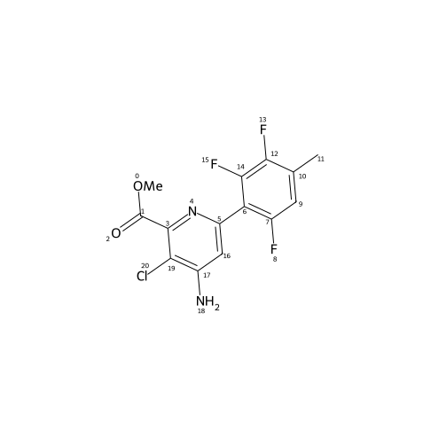 COC(=O)c1nc(-c2c(F)cc(C)c(F)c2F)cc(N)c1Cl